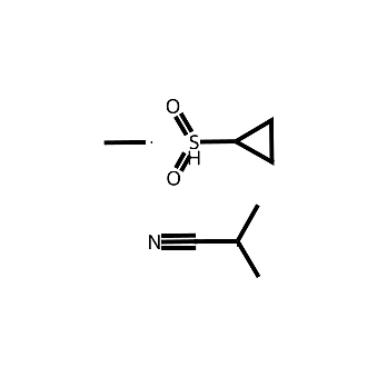 C[C](C)C#N.O=[SH](=O)C1CC1.[CH2]C